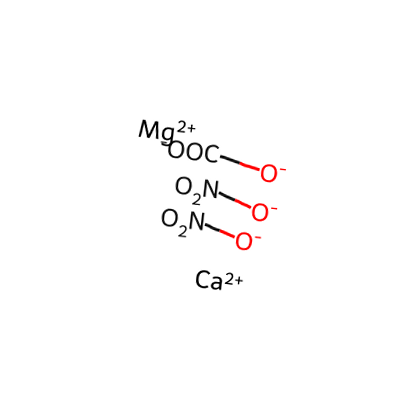 O=C([O-])[O-].O=[N+]([O-])[O-].O=[N+]([O-])[O-].[Ca+2].[Mg+2]